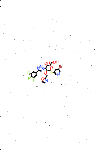 OCC1OC(Sc2cncc(Br)c2)C(OCc2ncco2)C(n2cc(-c3cc(F)c(F)c(F)c3)nn2)C1O